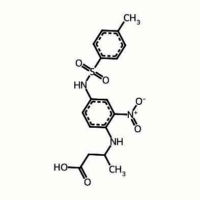 Cc1ccc(S(=O)(=O)Nc2ccc(NC(C)CC(=O)O)c([N+](=O)[O-])c2)cc1